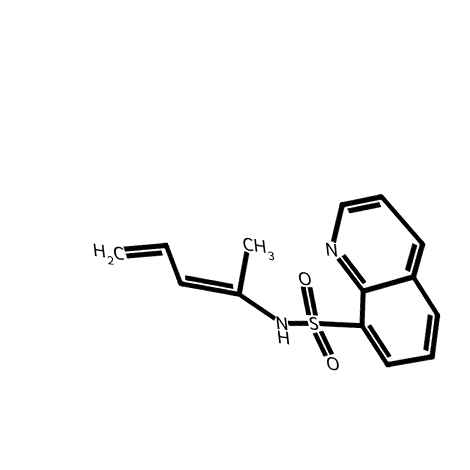 C=C/C=C(\C)NS(=O)(=O)c1cccc2cccnc12